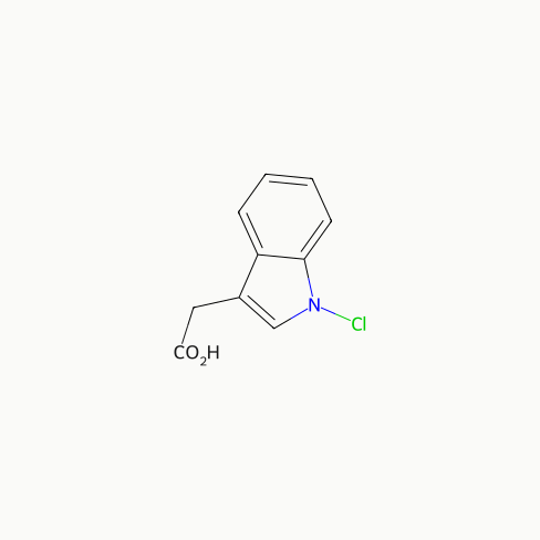 O=C(O)Cc1cn(Cl)c2ccccc12